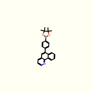 CC1(C)OB(c2ccc(-c3cc4cccnc4c4ccccc34)cc2)OC1(C)C